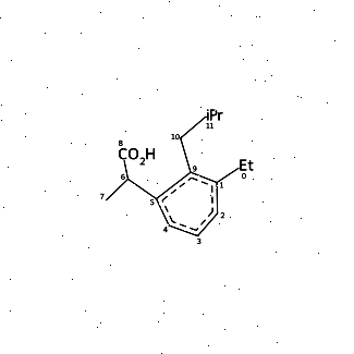 CCc1cccc(C(C)C(=O)O)c1CC(C)C